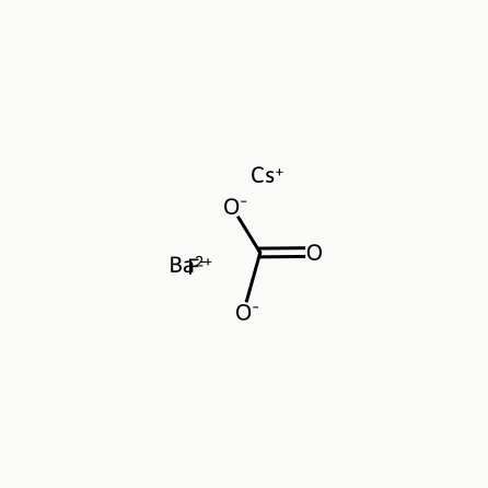 O=C([O-])[O-].[Ba+2].[Cs+].[F-]